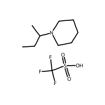 CCC(C)N1CCCCC1.O=S(=O)(O)C(F)(F)F